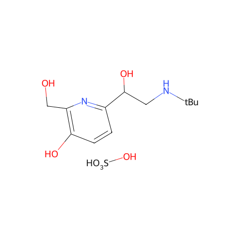 CC(C)(C)NCC(O)c1ccc(O)c(CO)n1.O=S(=O)(O)O